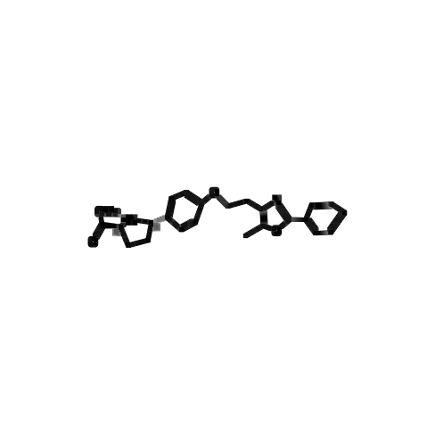 COC(=O)[C@@H]1CC[C@@H](c2ccc(OCCc3nc(-c4ccccc4)oc3C)cc2)N1